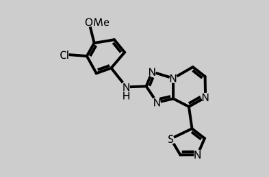 COc1ccc(Nc2nc3c(-c4cncs4)nccn3n2)cc1Cl